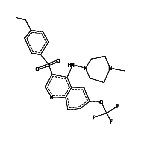 CCc1ccc(S(=O)(=O)c2cnc3ccc(OC(F)(F)F)cc3c2NN2CCN(C)CC2)cc1